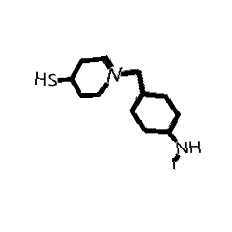 SC1CCN(CC2CCC(NI)CC2)CC1